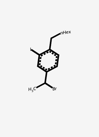 CCCCCCCc1ccc(C(C)Br)cc1I